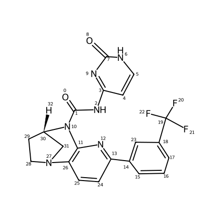 O=C(Nc1cc[nH]c(=O)n1)N1c2nc(-c3cccc(C(F)(F)F)c3)ccc2N2CC[C@H]1C2